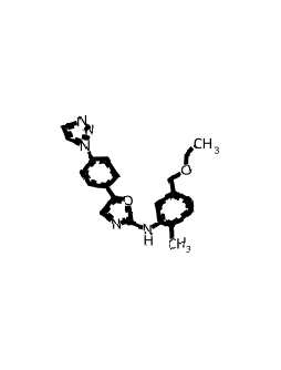 CCOCc1ccc(C)c(Nc2ncc(-c3ccc(-n4ccnn4)cc3)o2)c1